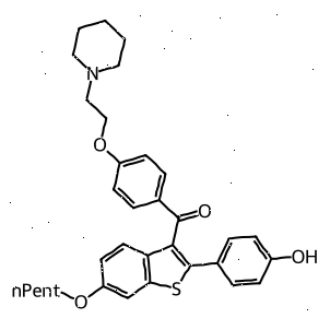 CCCCCOc1ccc2c(C(=O)c3ccc(OCCN4CCCCC4)cc3)c(-c3ccc(O)cc3)sc2c1